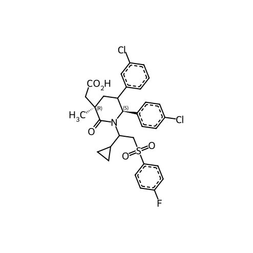 C[C@]1(CC(=O)O)CC(c2cccc(Cl)c2)[C@@H](c2ccc(Cl)cc2)N(C(CS(=O)(=O)c2ccc(F)cc2)C2CC2)C1=O